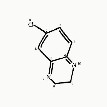 Clc1ccc2c(c1)=NCCN=2